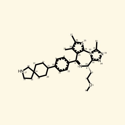 COCC[C@@H]1N=C(c2ccc(C3CCC4(CCNC4)CC3)cc2)c2c(sc(C)c2C)-n2c(C)nnc21